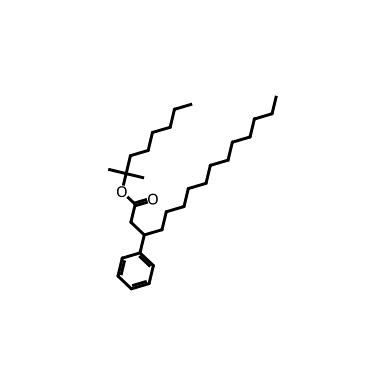 CCCCCCCCCCCCC(CC(=O)OC(C)(C)CCCCCC)c1ccccc1